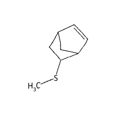 CSC1CC2C=CC1C2